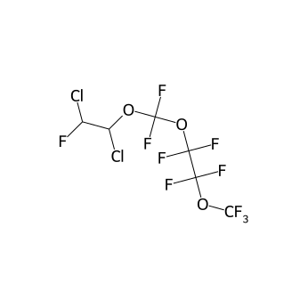 FC(Cl)C(Cl)OC(F)(F)OC(F)(F)C(F)(F)OC(F)(F)F